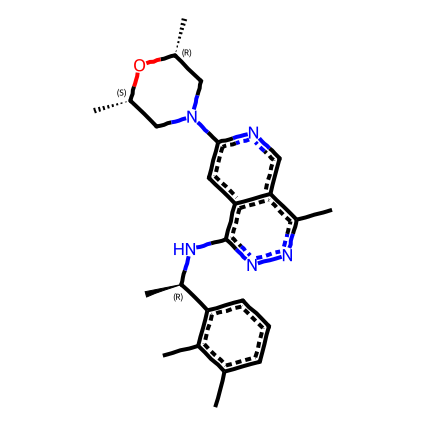 Cc1cccc([C@@H](C)Nc2nnc(C)c3cnc(N4C[C@@H](C)O[C@@H](C)C4)cc23)c1C